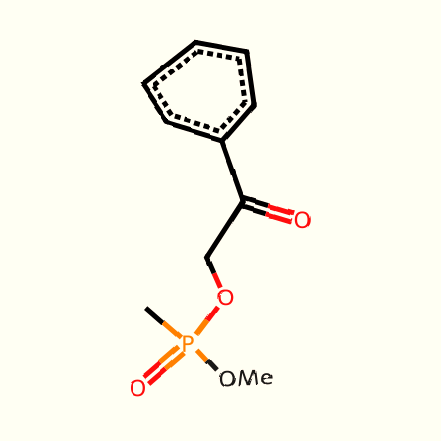 COP(C)(=O)OCC(=O)c1ccccc1